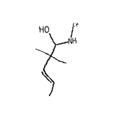 CC=CC(C)(C)C(O)NCC